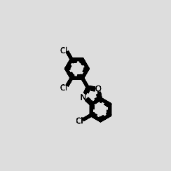 Clc1ccc(-c2nc3c(Cl)cccc3o2)c(Cl)c1